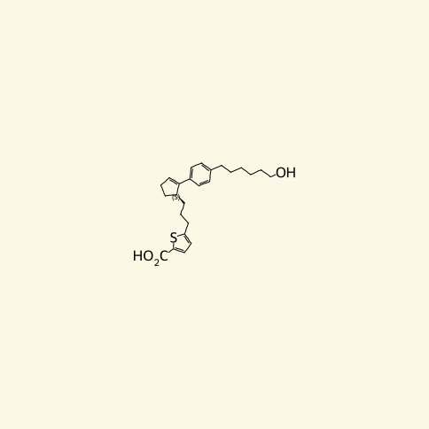 O=C(O)c1ccc(CCC[C@H]2CCC=C2c2ccc(CCCCCCO)cc2)s1